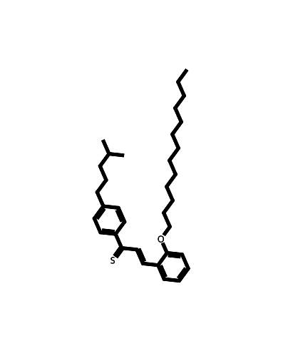 CCCCCCCCCCCCCOc1ccccc1C=CC(=S)c1ccc(CCCC(C)C)cc1